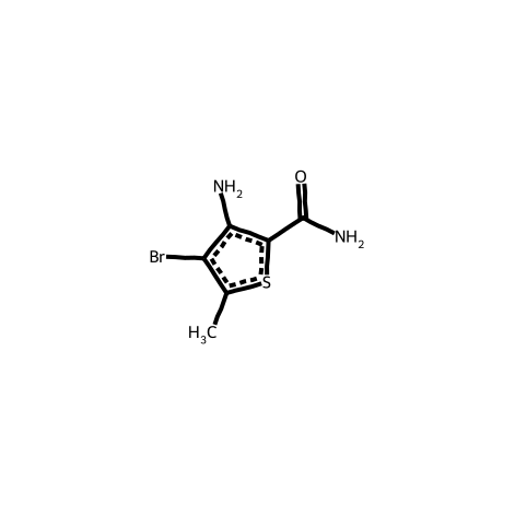 Cc1sc(C(N)=O)c(N)c1Br